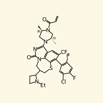 C=CC(=O)N1C[C@H](C)N(c2nc(=O)n3c4c(c(-c5cc(Cl)c(F)cc5F)c(C(F)(F)F)cc24)SCC(C2CCN2CC)C3)C[C@H]1C